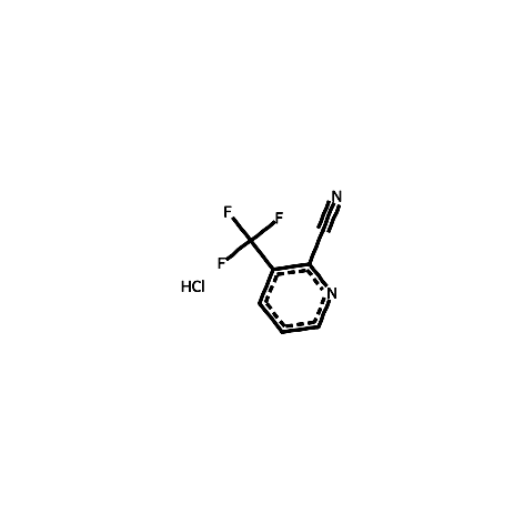 Cl.N#Cc1ncccc1C(F)(F)F